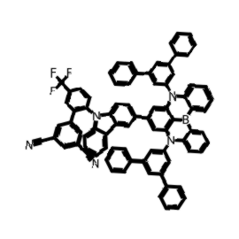 N#Cc1cc(C#N)cc(-c2cc(C(F)(F)F)ccc2-n2c3ccccc3c3cc(-c4cc5c6c(c4)N(c4cc(-c7ccccc7)cc(-c7ccccc7)c4)c4ccccc4B6c4ccccc4N5c4cc(-c5ccccc5)cc(-c5ccccc5)c4)ccc32)c1